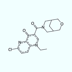 CCn1cc(C(=O)N2CC3COCC(C3)C2)c(=O)c2nc(Cl)ccc21